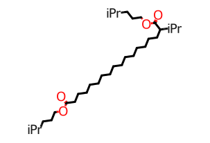 CC(C)CCCOC(=O)CCCCCCCCCCCCCCCC(C(=O)OCCCC(C)C)C(C)C